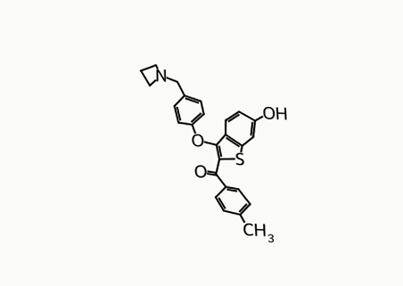 Cc1ccc(C(=O)c2sc3cc(O)ccc3c2Oc2ccc(CN3CCC3)cc2)cc1